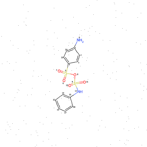 Nc1ccc(S(=O)(=O)OS(=O)(=O)Nc2ccccc2)cc1